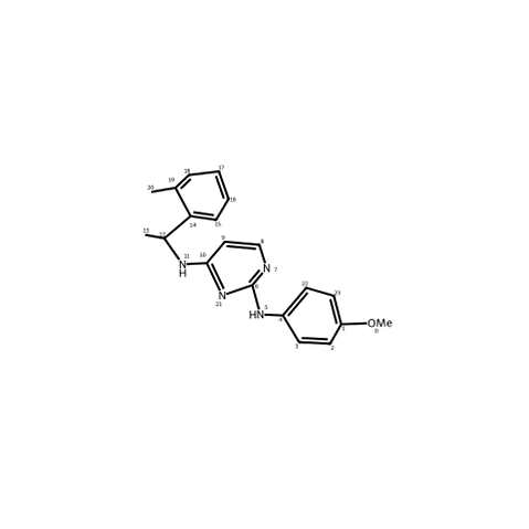 COc1ccc(Nc2nccc(NC(C)c3ccccc3C)n2)cc1